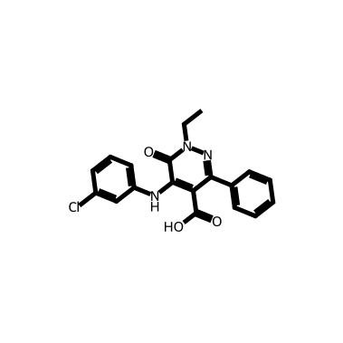 CCn1nc(-c2ccccc2)c(C(=O)O)c(Nc2cccc(Cl)c2)c1=O